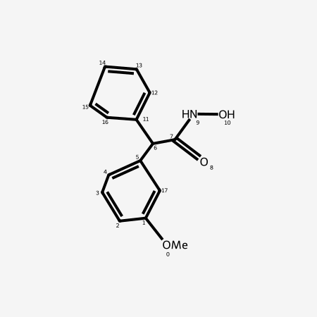 COc1cccc(C(C(=O)NO)c2ccccc2)c1